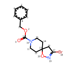 O=C(OCc1ccccc1)N1CCC2(CC1)CC(Br)=NO2